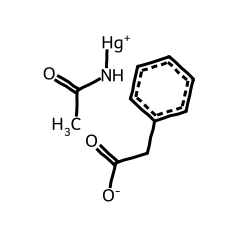 CC(=O)[NH][Hg+].O=C([O-])Cc1ccccc1